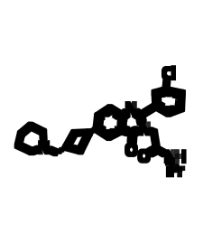 CC(C)NC(=O)Cn1c(-c2cccc(Cl)c2)nc2ccc([C@H]3C[C@@H](CN4CCCCC4)C3)cc2c1=O